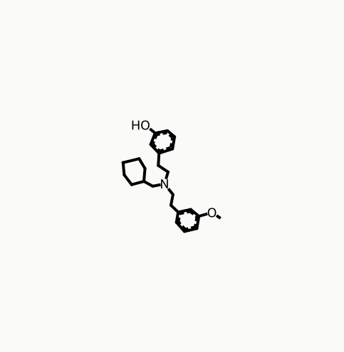 COc1cccc(CCN(CCc2cccc(O)c2)CC2CCCCC2)c1